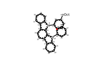 CCCCCCCCc1cccc(-n2c3ccccc3c3ccc4c5ccccc5n(-c5ccccc5)c4c32)c1